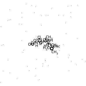 C=C[C@]1(CO)O[C@@H](n2cnc3c(NC(=O)[C@H]4CCC(=O)O4)nc(Cl)nc32)C[C@@H]1OC(=O)CC(C)(C)c1c(C)cc(C)cc1OC(C)=O